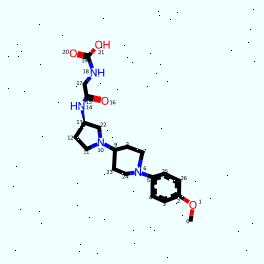 COc1ccc(N2CCC(N3CC[C@@H](NC(=O)CNC(=O)O)C3)CC2)cc1